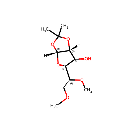 COC[C@@H](OC)[C@H]1O[C@@H]2OC(C)(C)O[C@@H]2[C@H]1O